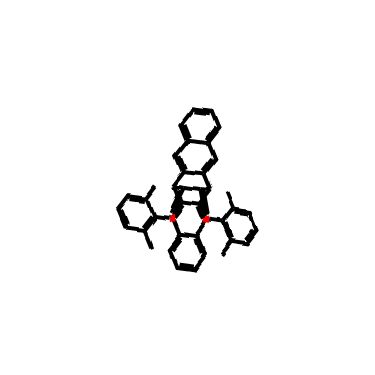 Cc1cccc(C)c1/N=C1/C(=N/c2c(C)cccc2C)C2c3cc4ccccc4cc3C1c1cc3ccccc3cc12